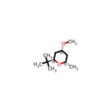 CO[C@@H]1C[C@H](C)O[C@@H](C(C)(C)C)C1